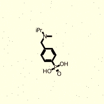 CC(C)N(C)Cc1ccc(P(=O)(O)O)cc1